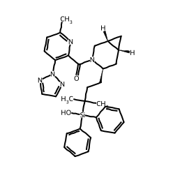 Cc1ccc(-n2nccn2)c(C(=O)N2C[C@@H]3C[C@@H]3C[C@H]2CCC(C)(C)[Si](O)(c2ccccc2)c2ccccc2)n1